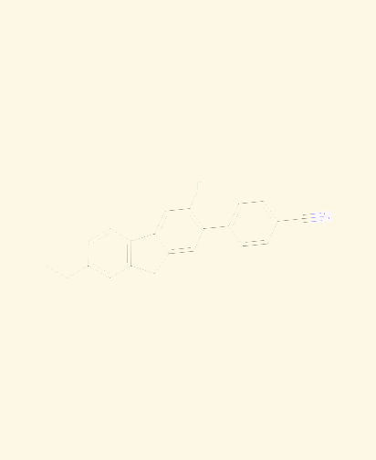 CCc1ccc2c(c1)Cc1cc(-c3ccc(C#N)cc3)c(F)cc1-2